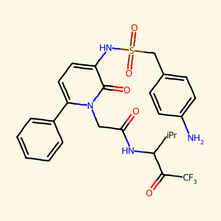 CC(C)C(NC(=O)Cn1c(-c2ccccc2)ccc(NS(=O)(=O)Cc2ccc(N)cc2)c1=O)C(=O)C(F)(F)F